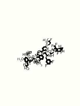 Cc1cc(CC(=O)O)c(C(C)(C)CC(=O)N(c2nn(C)c3c(-n4c([C@H](Cc5cc(F)cc(F)c5)NC(=O)Cn5nc(C(F)F)c6c5C(F)(F)[C@@H]5C[C@H]65)nc5nc(OCCC(C)(F)F)ccc5c4=O)ccc(Cl)c23)S(C)(=O)=O)c(OP(=O)(O)O)c1